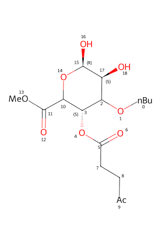 CCCCOC1[C@H](OC(=O)CCC(C)=O)C(C(=O)OC)O[C@@H](O)[C@H]1O